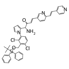 CC(C)(C)[Si](OCc1c(Cl)ccc(-n2cccc2C(N)C(=O)/C=C/c2ccc(/C=C/c3ccncc3)nc2)c1Cl)(c1ccccc1)c1ccccc1